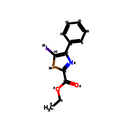 CCOC(=O)c1nc(-c2ccccc2)c(I)s1